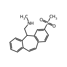 CNCC1c2ccccc2C=Cc2ccc(S(C)(=O)=O)cc21